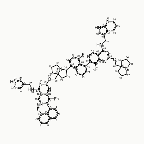 Fc1c(-c2cccc3cccc(F)c23)ncc2c(NCc3cn[nH]c3)nc(OCC34CCCN3C(c3ccc(F)c5c(-c6ncc7c(NCc8c[nH]c9ncccc89)nc(OCC89CCCN8CCC9)nc7c6F)cccc35)CC4)nc12